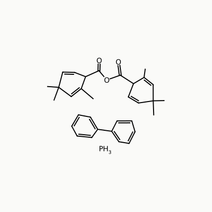 CC1=CC(C)(C)C=CC1C(=O)OC(=O)C1C=CC(C)(C)C=C1C.P.c1ccc(-c2ccccc2)cc1